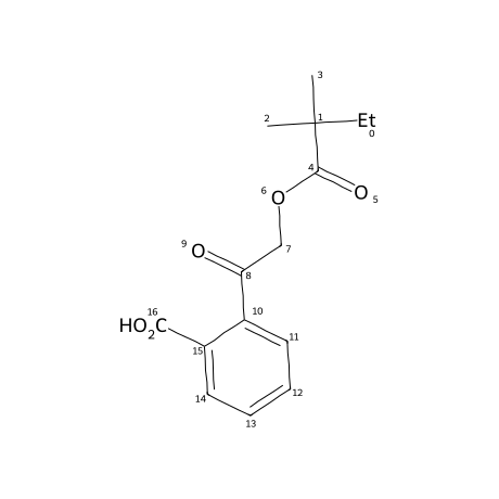 CCC(C)(C)C(=O)OCC(=O)c1ccccc1C(=O)O